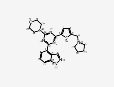 c1cc(-c2nc(-c3ccc(CN4CCCC4)s3)nc(N3CCOCC3)n2)c2cn[nH]c2c1